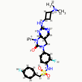 CC(C)N1C(=O)N(c2ccc(NS(=O)(=O)Cc3ccc(F)cc3)c(F)c2)Cc2cnc(NC3CC(N(C)C)C3)nc21